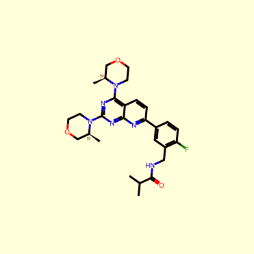 CC(C)C(=O)NCc1cc(-c2ccc3c(N4CCOC[C@@H]4C)nc(N4CCOC[C@@H]4C)nc3n2)ccc1F